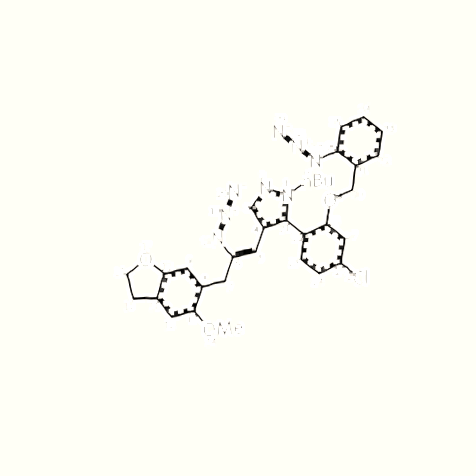 CCCCn1ncc(/C=C(/Cc2cc3c(cc2OC)CCO3)N=[N+]=[N-])c1-c1ccc(Cl)cc1OCc1ccccc1N=[N+]=[N-]